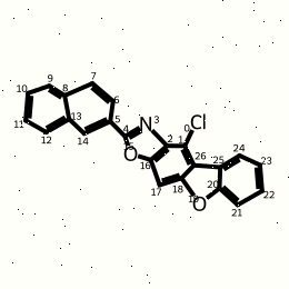 Clc1c2nc(-c3ccc4ccccc4c3)oc2cc2oc3ccccc3c12